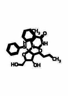 CCCCC1[C@H](O)[C@@H](CO)O[C@]1(n1cc(C)c(=O)[nH]c1=O)[SiH](c1ccccc1)c1ccccc1